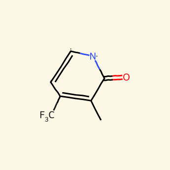 CC1=C(C(F)(F)F)C=[C][N]C1=O